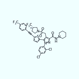 O=C(NN1CCCCC1)c1nn(-c2ccc(Cl)cc2Cl)c(-c2ccc(C#Cc3ccc(C(F)(F)F)cc3)s2)c1CS(=O)(=O)N1CC[C@H](C(F)(F)F)C1